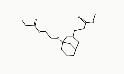 CCC(=O)OCCOC12CCCC(CC(CCC(=O)OC)C1)C2